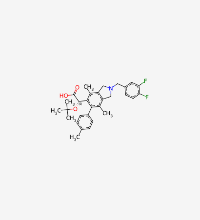 Cc1ccc(-c2c(C)c3c(c(C)c2[C@H](OC(C)(C)C)C(=O)O)CN(Cc2ccc(F)c(F)c2)C3)cc1